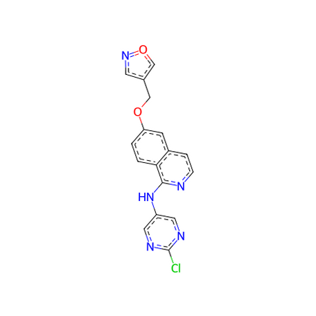 Clc1ncc(Nc2nccc3cc(OCc4cnoc4)ccc23)cn1